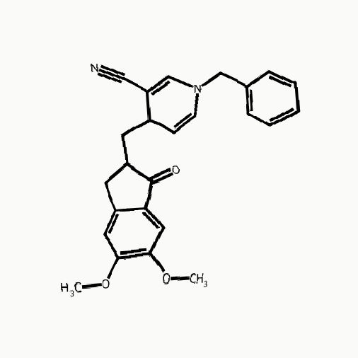 COc1cc2c(cc1OC)C(=O)C(CC1C=CN(Cc3ccccc3)C=C1C#N)C2